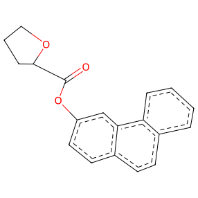 O=C(Oc1ccc2ccc3ccccc3c2c1)C1CCCO1